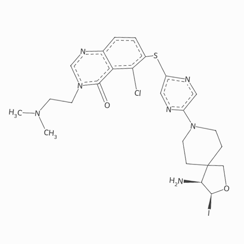 CN(C)CCn1cnc2ccc(Sc3cnc(N4CCC5(CC4)CO[C@@H](I)[C@H]5N)cn3)c(Cl)c2c1=O